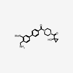 CNc1cc(-c2ccc(C(=O)N3CCN(C(=O)C4(O)CC4)CC3)cc2)ccc1CN